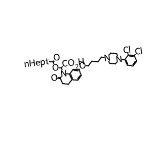 CCCCCCCC(=O)OC(C(=O)O)N1C(=O)CCc2ccc(OCCCCN3CCN(c4cccc(Cl)c4Cl)CC3)cc21